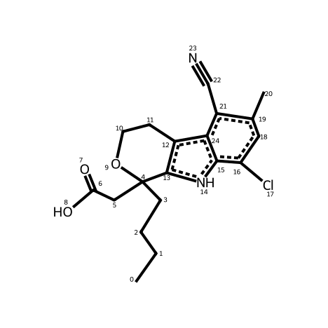 CCCCC1(CC(=O)O)OCCc2c1[nH]c1c(Cl)cc(C)c(C#N)c21